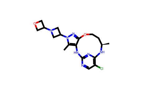 Cc1c2c(nn1C1CN(C3COC3)C1)OCC[C@@H](C)Nc1nc(ncc1Cl)N2